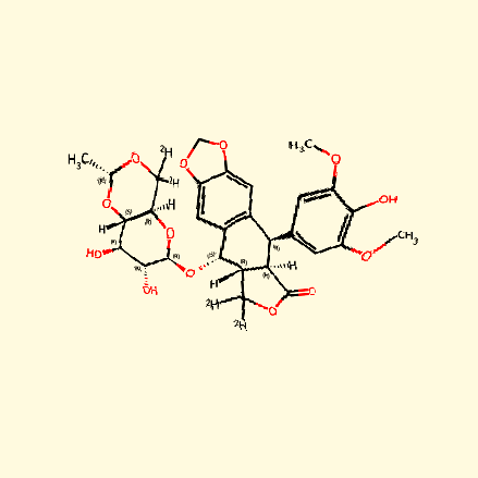 [2H]C1([2H])OC(=O)[C@@H]2[C@H](c3cc(OC)c(O)c(OC)c3)c3cc4c(cc3[C@@H](O[C@@H]3O[C@H]5[C@@H](O[C@H](C)OC5([2H])[2H])[C@H](O)[C@H]3O)[C@H]21)OCO4